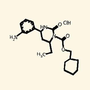 CCC1CC(c2cccc(N)c2)NC(=O)N1C(=O)OCC1CCCCC1.Cl